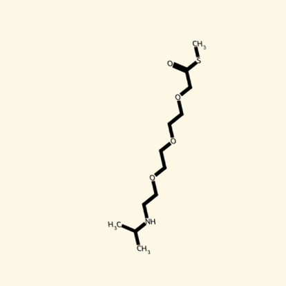 CSC(=O)COCCOCCOCCNC(C)C